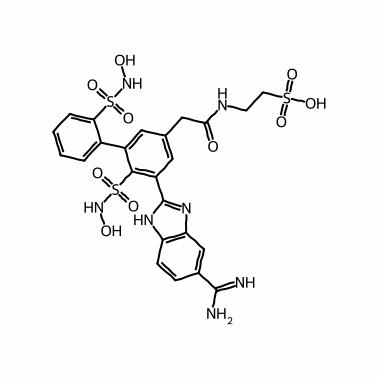 N=C(N)c1ccc2[nH]c(-c3cc(CC(=O)NCCS(=O)(=O)O)cc(-c4ccccc4S(=O)(=O)NO)c3S(=O)(=O)NO)nc2c1